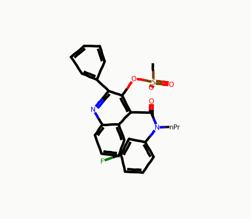 CCCN(C(=O)c1c(OS(C)(=O)=O)c(-c2ccccc2)nc2ccccc12)c1cccc(F)c1